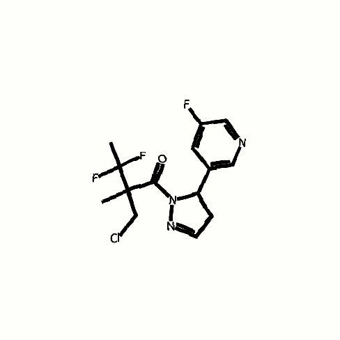 CC(F)(F)C(C)(CCl)C(=O)N1N=CCC1c1cncc(F)c1